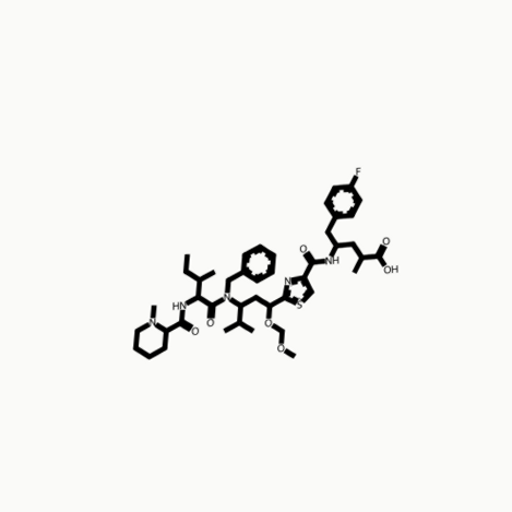 CCC(C)C(NC(=O)C1CCCCN1C)C(=O)N(Cc1ccccc1)C(CC(OCOC)c1nc(C(=O)NC(Cc2ccc(F)cc2)CC(C)C(=O)O)cs1)C(C)C